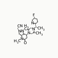 CC(c1ccc(F)cn1)N1C[C@H](C)N(c2cc(=O)n(C)c3cn(CC#N)nc23)C[C@H]1C